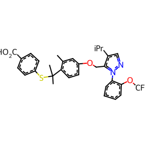 Cc1cc(OCc2c(C(C)C)cnn2-c2ccccc2OC(F)(F)F)ccc1C(C)(C)Sc1ccc(C(=O)O)cc1